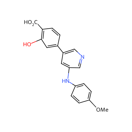 COc1ccc(Nc2cncc(-c3ccc(C(=O)O)c(O)c3)c2)cc1